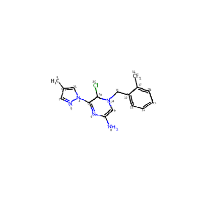 Cc1cnn(C2=NC(N)=CN(Cc3ccccc3C(F)(F)F)C2Cl)c1